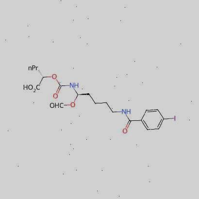 CCC[C@H](OC(=O)N[C@@H](CCCCNC(=O)c1ccc(I)cc1)OC=O)C(=O)O